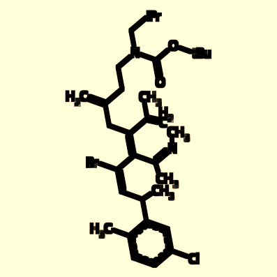 C=C(CCN(CC(C)C)C(=O)OC(C)(C)C)C/C(C(=C)C)=C(C(/C)=N\C)\C(Br)=C/C(C)c1cc(Cl)ccc1C